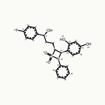 O=S1(=O)[C@@H](CC[C@H](O)c2ccc(F)cc2)[C@@H](c2ccc(O)cc2O)N1c1ccccc1